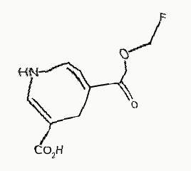 O=C(O)C1=CNC=C(C(=O)OCF)C1